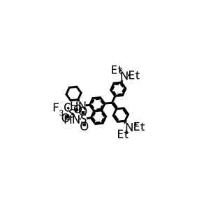 CCN(CC)c1ccc(C(=C2C=CC(=[N+](CC)CC)C=C2)c2ccc(NC3CCCCC3)c3c(S(=O)(=O)NS(=O)(=O)C(F)(F)F)cccc23)cc1